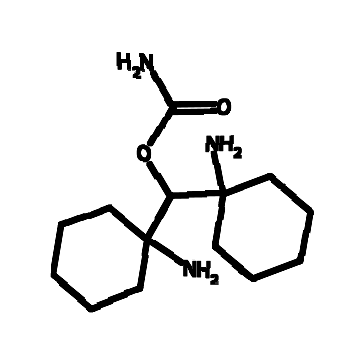 NC(=O)OC(C1(N)CCCCC1)C1(N)CCCCC1